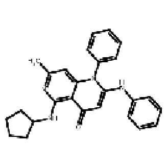 Cc1cc2c(c(NC3CCCC3)n1)c(=O)cc(Nc1ccccc1)n2-c1ccccc1